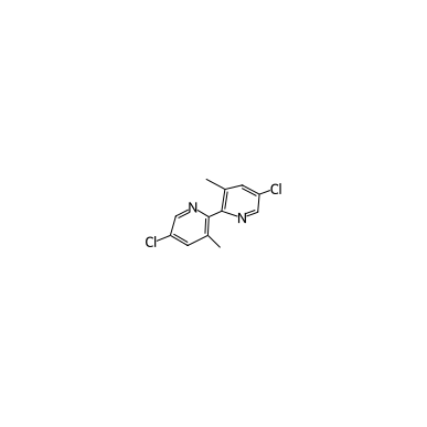 Cc1cc(Cl)cnc1-c1ncc(Cl)cc1C